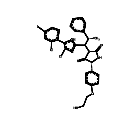 C[C@@H](c1ccccc1)C(c1nc(Cl)c(-c2ccc(I)cc2Cl)[nH]1)N1C(=O)N[C@H](c2ccc(OCCO)cc2)C1=O